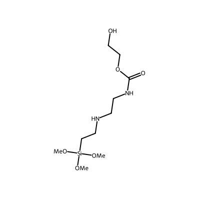 CO[Si](CCNCCNC(=O)OCCO)(OC)OC